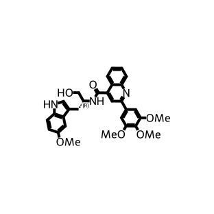 COc1ccc2[nH]cc(C[C@H](CO)NC(=O)c3cc(-c4cc(OC)c(OC)c(OC)c4)nc4ccccc34)c2c1